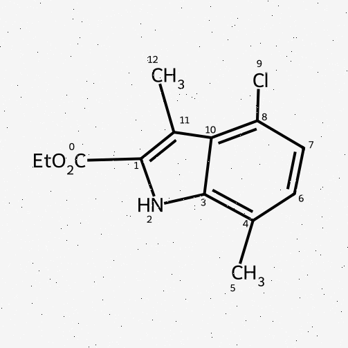 CCOC(=O)c1[nH]c2c(C)ccc(Cl)c2c1C